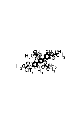 C=C(C)C(=O)Oc1ccc(-c2cc(OC(=O)C(=C)C)c(-c3ccc(OC(=O)C(=C)C)c(C)c3)cc2OC(=O)C(=C)C)c(C)c1